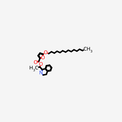 CCCCCCCCCCCCCCOc1ccc(C(=O)OC(C)C2=NCCc3ccccc32)o1